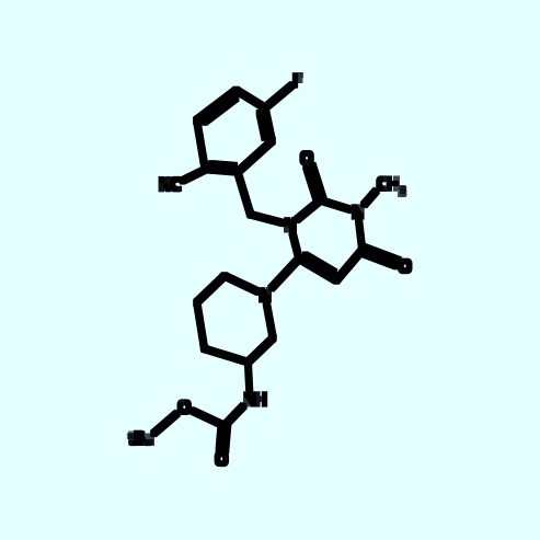 Cn1c(=O)cc(N2CCCC(NC(=O)OC(C)(C)C)C2)n(Cc2cc(F)ccc2C#N)c1=O